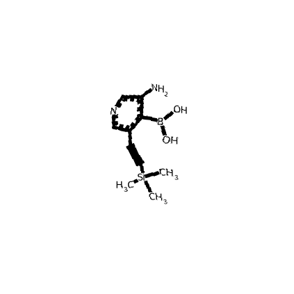 C[Si](C)(C)C#Cc1cncc(N)c1B(O)O